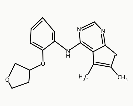 Cc1sc2ncnc(Nc3ccccc3OC3CCOC3)c2c1C